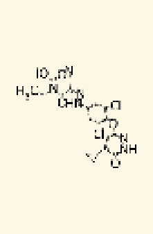 CCN(C(=O)O)C(=O)C(C#N)=NNc1cc(Cl)c(Oc2cc(C3CC3)c(=O)[nH]n2)c(Cl)c1